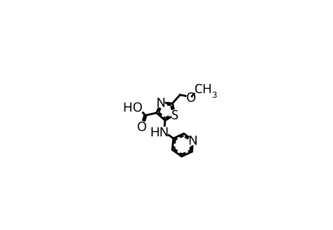 COCc1nc(C(=O)O)c(Nc2cccnc2)s1